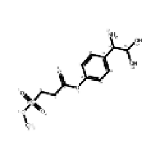 COS(=O)(=O)CCC(=O)Oc1ccc(C(N)C(O)O)cc1